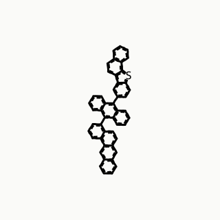 c1ccc2cc3c(ccc4c(-c5c6ccccc6c(-c6ccc7sc8c9ccccc9ccc8c7c6)c6ccccc56)cccc43)cc2c1